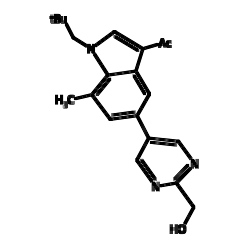 CC(=O)c1cn(CC(C)(C)C)c2c(C)cc(-c3cnc(CO)nc3)cc12